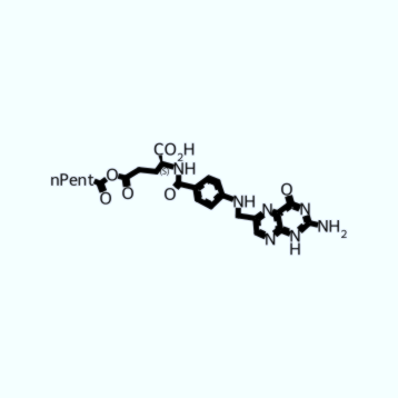 CCCCCC(=O)OC(=O)CC[C@H](NC(=O)c1ccc(NCc2cnc3[nH]c(N)nc(=O)c3n2)cc1)C(=O)O